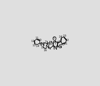 O=c1[nH]c(CN2CCN(C3C=CC=CC3)CC2)nc2sc3ccccc3c12